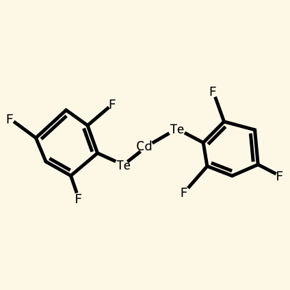 Fc1cc(F)c([Te][Cd][Te]c2c(F)cc(F)cc2F)c(F)c1